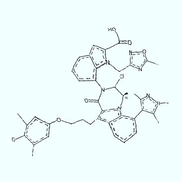 Cc1nc(Cn2c(C(=O)O)cc3cccc(N4C(=O)c5c(CCCOc6cc(C)c(Cl)c(C)c6)c6cccc(-c7c(C)nn(C)c7C)c6n5[C@H](C)C4Cl)c32)no1